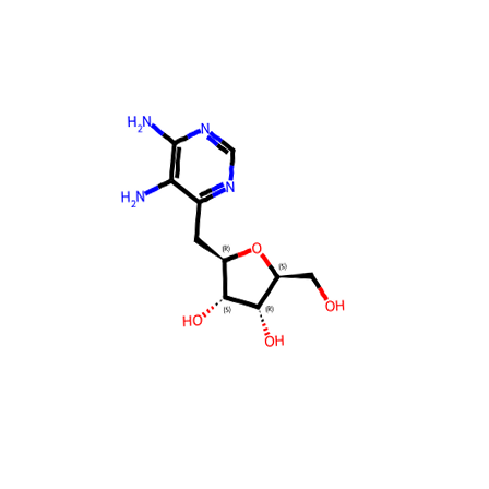 Nc1ncnc(C[C@H]2O[C@@H](CO)[C@H](O)[C@@H]2O)c1N